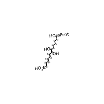 CCCCCC(O)CCCCC/C(O)=C(O)/C=C/C=C/C=C/C(=O)O